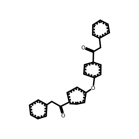 O=C(Cc1ccccc1)c1ccc(Oc2ccc(C(=O)Cc3ccccc3)cc2)cc1